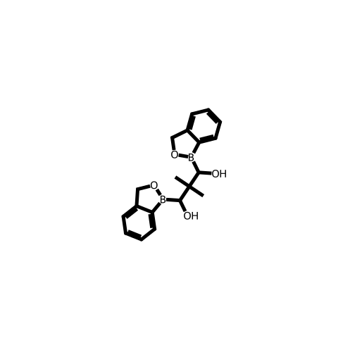 CC(C)(C(O)B1OCc2ccccc21)C(O)B1OCc2ccccc21